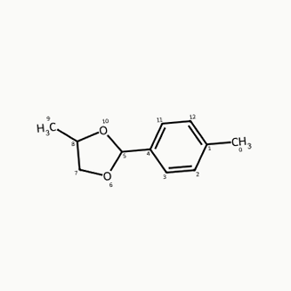 Cc1ccc(C2OCC(C)O2)cc1